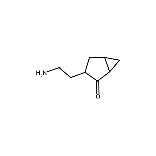 NCCC1CC2CC2C1=O